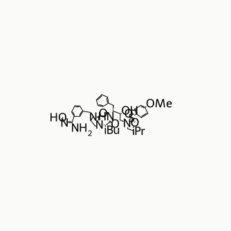 CC[C@H](C)[C@@H](C(=O)N[C@@H](Cc1ccccc1)[C@H](O)CN(CC(C)C)S(=O)(=O)c1ccc(OC)cc1)N1CCN(Cc2cccc(/C(N)=N\O)c2)C1=O